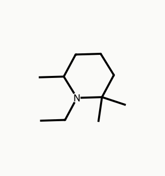 CCN1C(C)CCCC1(C)C